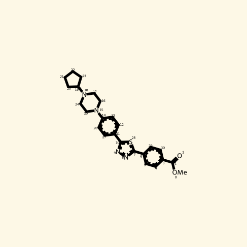 COC(=O)c1ccc(-c2nnc(-c3ccc(N4CCN(C5CCCC5)CC4)cc3)s2)cc1